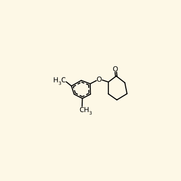 Cc1cc(C)cc(OC2CCCCC2=O)c1